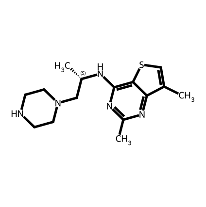 Cc1nc(N[C@@H](C)CN2CCNCC2)c2scc(C)c2n1